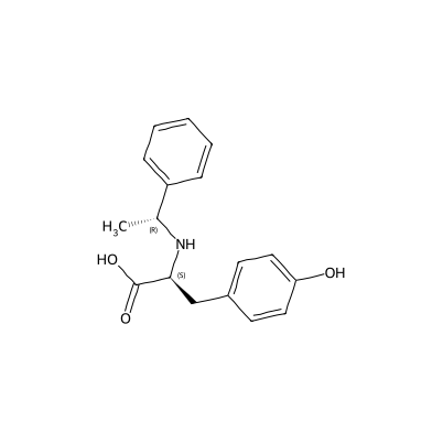 C[C@@H](N[C@@H](Cc1ccc(O)cc1)C(=O)O)c1ccccc1